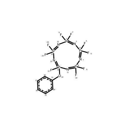 FP1(F)=NP(F)(F)=NP(F)(F)=NP(F)(Oc2ccccc2)=NP(F)(F)=N1